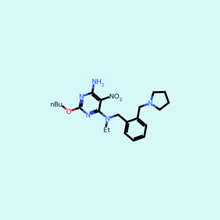 CCCCOc1nc(N)c([N+](=O)[O-])c(N(CC)Cc2ccccc2CN2CCCC2)n1